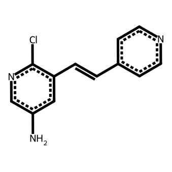 Nc1cnc(Cl)c(/C=C/c2ccncc2)c1